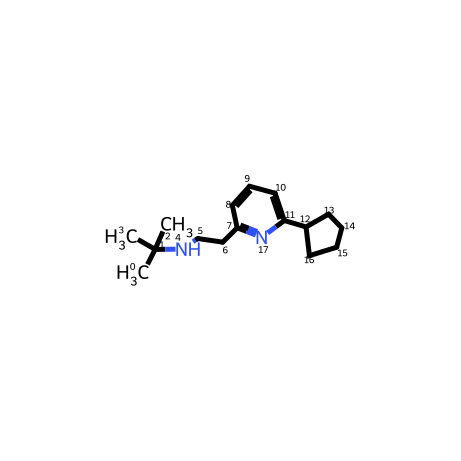 CC(C)(C)NCCc1cccc(C2CCCC2)n1